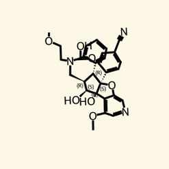 COCCN(C[C@@H]1[C@H](O)[C@]2(O)c3c(OC)cncc3O[C@]2(c2ccc(C#N)cc2)[C@H]1c1ccccc1)C(=O)O